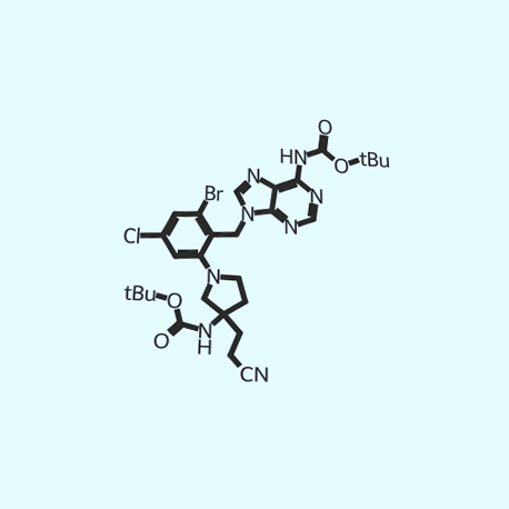 CC(C)(C)OC(=O)Nc1ncnc2c1ncn2Cc1c(Br)cc(Cl)cc1N1CCC(CCC#N)(NC(=O)OC(C)(C)C)C1